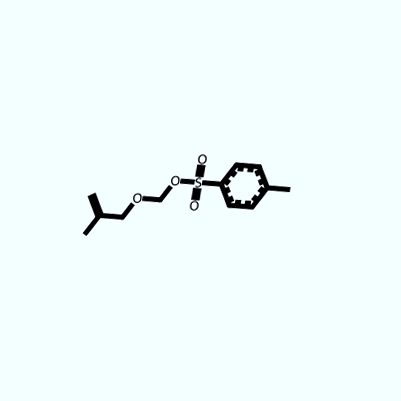 C=C(C)COCOS(=O)(=O)c1ccc(C)cc1